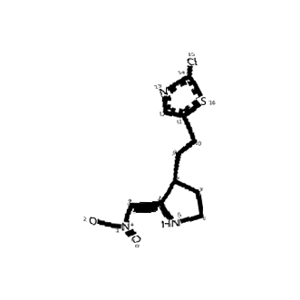 O=[N+]([O-])C=C1NCCC1CCc1cnc(Cl)s1